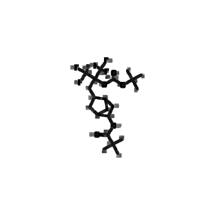 CC(C)(C)OC(=O)OC(CC1CC2CC1CC2OC(=O)C(C)(C)C)(C(F)(F)F)C(F)(F)F